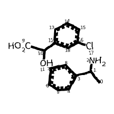 CC(N)c1ccccc1.O=C(O)C(O)c1cccc(Cl)c1